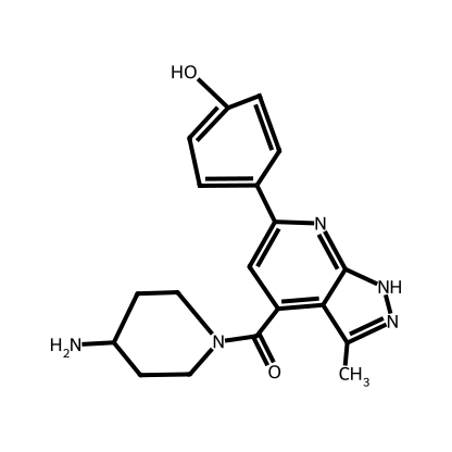 Cc1n[nH]c2nc(-c3ccc(O)cc3)cc(C(=O)N3CCC(N)CC3)c12